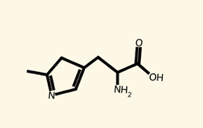 CC1=NC=C(CC(N)C(=O)O)C1